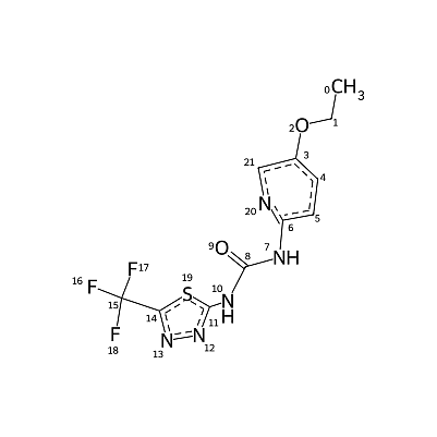 CCOc1ccc(NC(=O)Nc2nnc(C(F)(F)F)s2)nc1